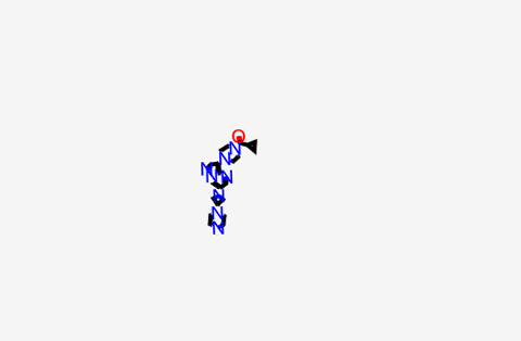 CN1CCN(C2CN(c3cnc4c(N5CCN(C(=O)C6CC6)CC5)cnn4c3)C2)CC1